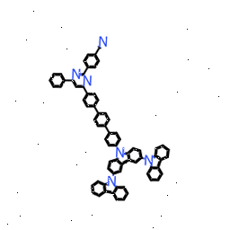 N#Cc1ccc(-c2nc(-c3ccccc3)cc(-c3ccc(-c4ccc(-c5ccc(-n6c7ccc(-n8c9ccccc9c9ccccc98)cc7c7cc(-n8c9ccccc9c9ccccc98)ccc76)cc5)cc4)cc3)n2)cc1